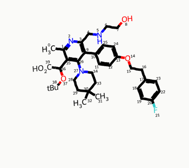 Cc1nc(CNCCO)c(-c2ccc(OCCc3ccc(F)cc3)cc2)c(N2CCC(C)(C)CC2)c1C(OC(C)(C)C)C(=O)O